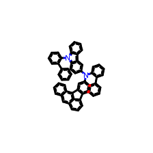 c1ccc(-c2ccccc2N(c2ccc3c(c2)-c2c4ccccc4cc4cccc-3c24)c2ccc3c(c2)c2ccccc2n3-c2ccccc2-c2ccccc2)cc1